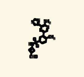 Cc1ccc(S(=O)(=O)NC23CC(C=O)(C2)C3)cc1-c1cnc(N)c(-n2cncn2)n1